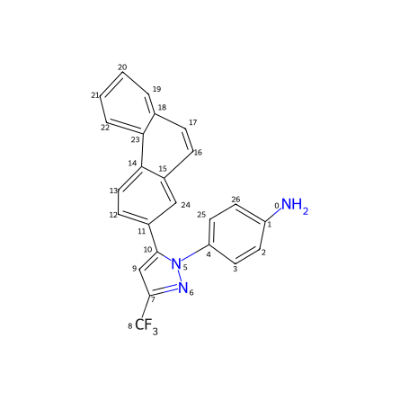 Nc1ccc(-n2nc(C(F)(F)F)cc2-c2ccc3c(ccc4ccccc43)c2)cc1